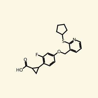 O=C(O)C1CC1c1ccc(OCc2cccnc2SC2CCCC2)cc1F